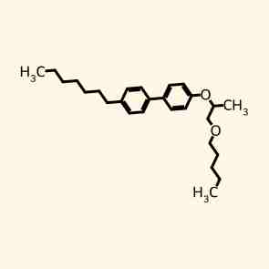 CCCCCCCc1ccc(-c2ccc(OC(C)COCCCCC)cc2)cc1